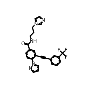 O=C(NCCCn1ccnc1)c1ccc(-n2cccn2)c(C#Cc2cccc(C(F)(F)F)c2)c1